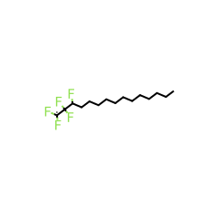 CCCCCCCCCCCCC(F)C(F)(F)[C](F)F